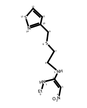 CCNC(=C[N+](=O)[O-])NCCSCc1ccsn1